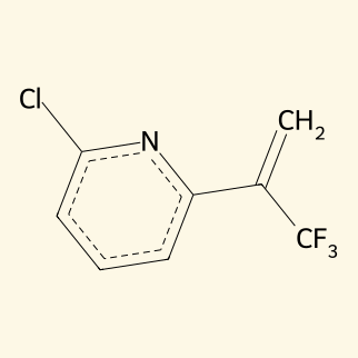 C=C(c1cccc(Cl)n1)C(F)(F)F